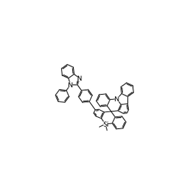 C[Si]1(C)c2ccccc2C2(c3ccccc3-n3c4ccccc4c4cccc2c43)c2cc(-c3ccc(-c4nc5ccccc5n4-c4ccccc4)cc3)ccc21